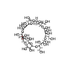 OCCC1OC(O)/C(O)=C(\O)C(CCO)OC2OC(CO)C(OC3OC(CO)C(OC(O)/C(O)=C(/O)C(CCO)OC(O)C(O)C(O)C(CCO)OC(O)/C(O)=C\1O)C(O)C3O)C(O)C2O